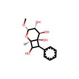 CO[C@H]1O[C@@H]2C(O)C(c3ccccc3)[C@@]2(O)[C@H](O)[C@H]1O